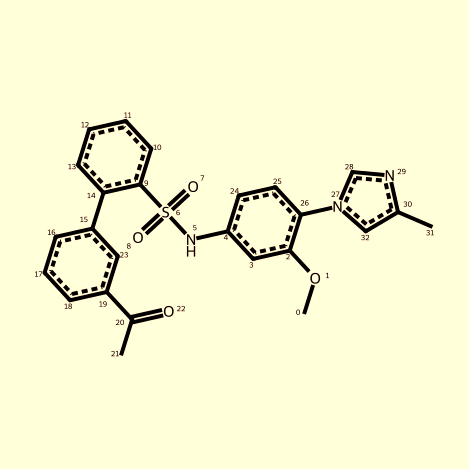 COc1cc(NS(=O)(=O)c2ccccc2-c2cccc(C(C)=O)c2)ccc1-n1cnc(C)c1